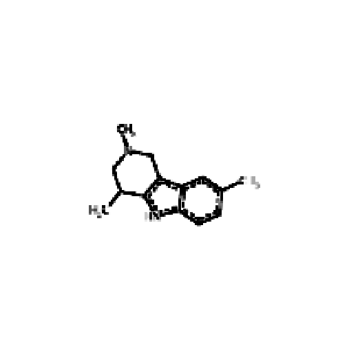 Cc1ccc2[nH]c3c(c2c1)CN(C)CC3C